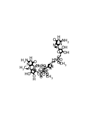 C=CN(c1nc(N)[nH]c(=O)c1NC)[C@@H]1O[C@H](COP(=O)(OC)OP(=O)(OC)OP(=O)(OC)c2cn(CCNP(=O)(OC)OC[C@H]3O[C@@H](n4cnc5c(=O)[nH]c(N)nc54)C(O)C3O)nn2)C(O)C1O